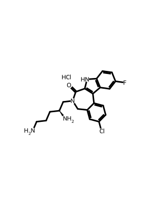 Cl.NCCC[C@H](N)CN1Cc2cc(Cl)ccc2-c2c([nH]c3ccc(F)cc23)C1=O